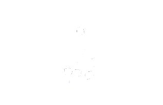 Nc1nccc2c(NCC34CC(COc5cc6n(c(=O)c5)CCC6)(CN3C(=O)NC3(c5ccccc5)CC3)C4)cccc12